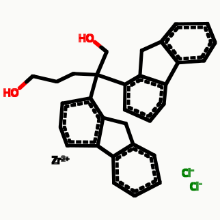 OCCCC(CO)(c1cccc2c1Cc1ccccc1-2)c1cccc2c1Cc1ccccc1-2.[Cl-].[Cl-].[Zr+2]